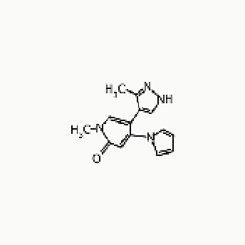 Cc1n[nH]cc1-c1cn(C)c(=O)cc1-n1cccc1